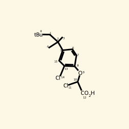 CC(C)(C)CC(C)(C)c1ccc(OC(Cl)C(=O)O)c(Cl)c1